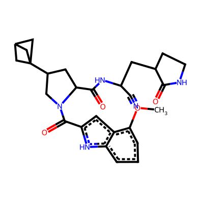 COc1cccc2[nH]c(C(=O)N3CC(C45CC(C4)C5)CC3C(=O)NC(C#N)CC3CCNC3=O)cc12